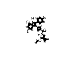 CCOCC1(CNC(=O)[C@H]2C[C@H](c3c(-c4ccc(F)cc4)[nH]c4c(F)cc(F)cc43)C2)CC1